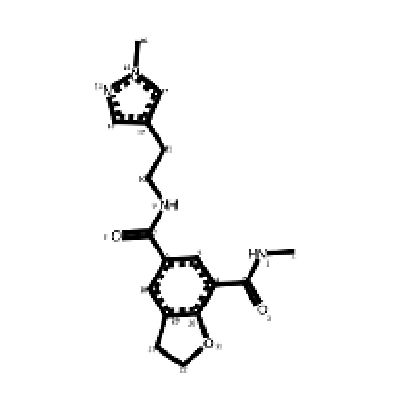 CNC(=O)c1cc(C(=O)NCCc2cnn(C)c2)cc2c1OCC2